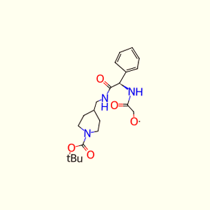 CC(C)(C)OC(=O)N1CCC(CNC(=O)[C@H](NC(=O)C[O])c2ccccc2)CC1